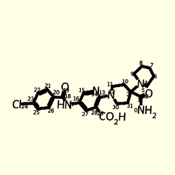 NC(=O)C1(N2CCCCC2)CCN(c2ncc(NC(=O)c3ccc(Cl)cc3)cc2C(=O)O)CC1